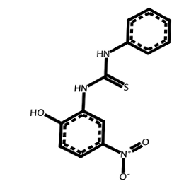 O=[N+]([O-])c1ccc(O)c(NC(=S)Nc2ccccc2)c1